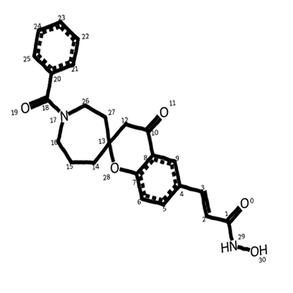 O=C(C=Cc1ccc2c(c1)C(=O)CC1(CCCN(C(=O)c3ccccc3)CC1)O2)NO